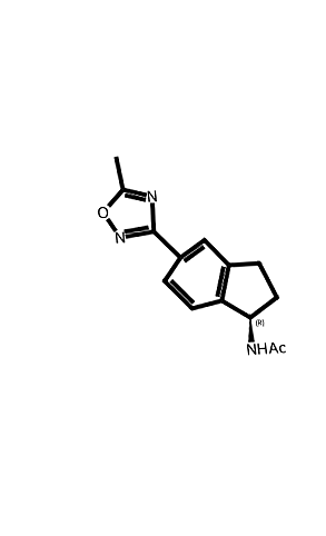 CC(=O)N[C@@H]1CCc2cc(-c3noc(C)n3)ccc21